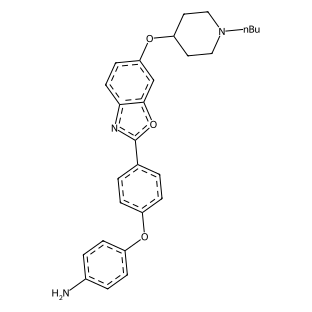 CCCCN1CCC(Oc2ccc3nc(-c4ccc(Oc5ccc(N)cc5)cc4)oc3c2)CC1